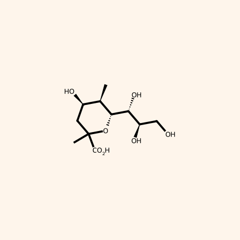 C[C@H]1[C@H]([C@H](O)[C@H](O)CO)OC(C)(C(=O)O)C[C@H]1O